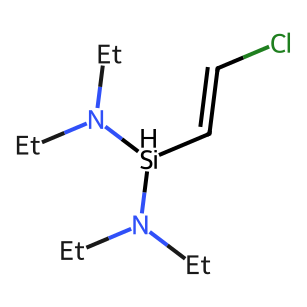 CCN(CC)[SiH](C=CCl)N(CC)CC